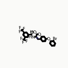 O=C(O)/C(=C\c1ccc(Oc2ccccc2Br)cc1)NC(=O)c1cc(C(F)(F)F)cc(C(F)(F)F)c1